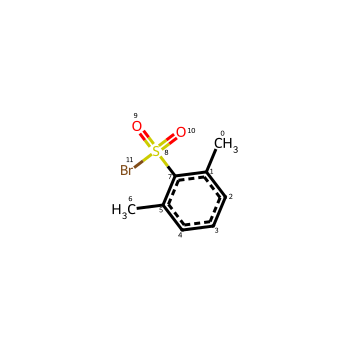 Cc1cccc(C)c1S(=O)(=O)Br